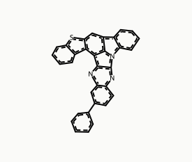 c1ccc(-c2ccc3nc4c(nc3c2)c2c3c(cc5c6ccccc6n4c52)sc2ccccc23)cc1